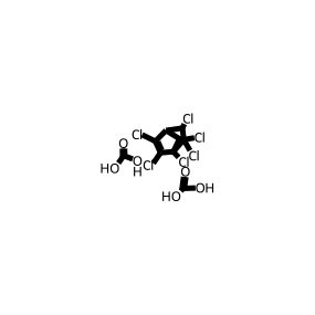 ClC1=C(Cl)C2(Cl)CC1C(Cl)C2(Cl)Cl.O=C(O)O.O=C(O)O